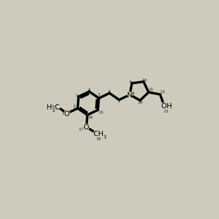 COc1ccc(CCN2CCC(CO)C2)cc1OC